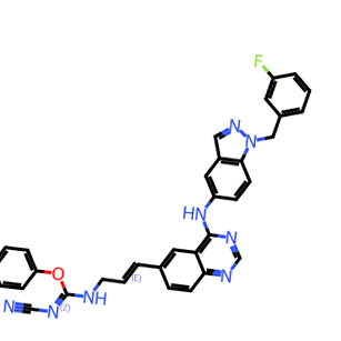 N#C/N=C(/NC/C=C/c1ccc2ncnc(Nc3ccc4c(cnn4Cc4cccc(F)c4)c3)c2c1)Oc1ccccc1